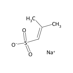 CC(C)=CS(=O)(=O)[O-].[Na+]